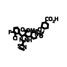 COC(=O)C1=C(C2CCN(S(=O)(=O)C[C@H]3CC[C@H](C(=O)O)CC3)CC2)NC(c2nccs2)=NC1c1cccc(F)c1Cl